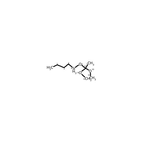 CCCC[SiH2]OC(C)(OC)OC